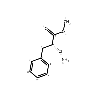 COC(=O)[C@H](Cl)Cc1ccccc1.N